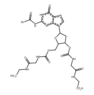 CC(C)C(=O)Nc1nc2c(ncn2C2CC(OC(=O)NCC(=O)NCC(=O)O)C(COC(=O)NCC(=O)NCC(=O)O)O2)c(=O)[nH]1